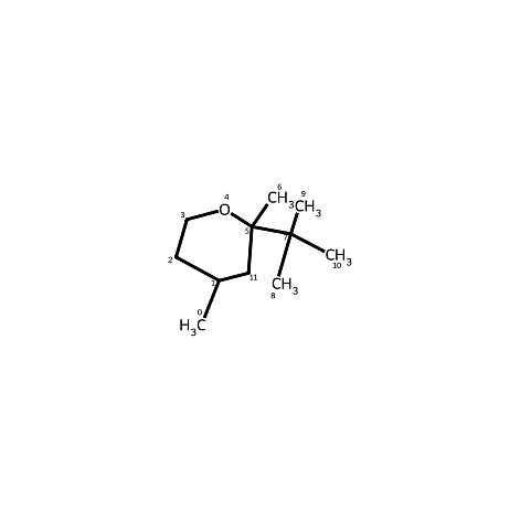 CC1CCOC(C)(C(C)(C)C)C1